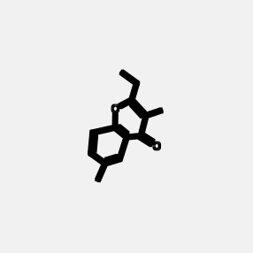 CCc1oc2ccc(C)cc2c(=O)c1C